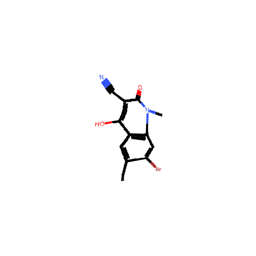 Cc1cc2c(O)c(C#N)c(=O)n(C)c2cc1Br